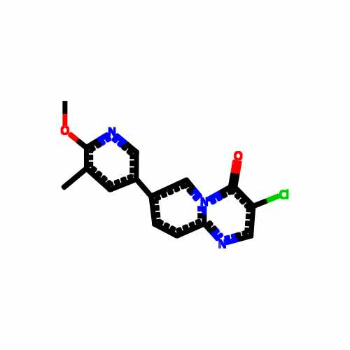 COc1ncc(-c2ccc3ncc(Cl)c(=O)n3c2)cc1C